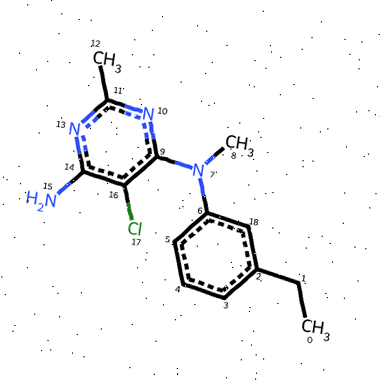 CCc1cccc(N(C)c2nc(C)nc(N)c2Cl)c1